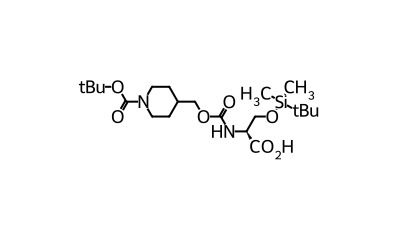 CC(C)(C)OC(=O)N1CCC(COC(=O)N[C@@H](CO[Si](C)(C)C(C)(C)C)C(=O)O)CC1